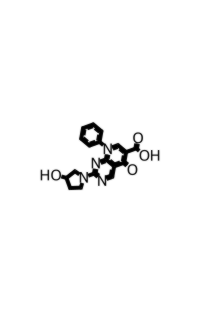 O=C(O)c1cn(-c2ccccc2)c2nc(N3CCC(O)C3)ncc2c1=O